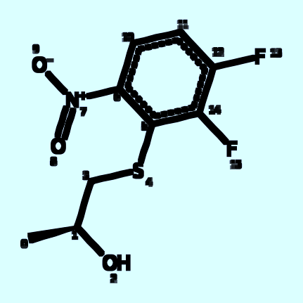 C[C@H](O)CSc1c([N+](=O)[O-])ccc(F)c1F